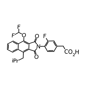 CC(C)Cc1c2c(c(OC(F)F)c3ccccc13)C(=O)N(c1ccc(CC(=O)O)cc1F)C2=O